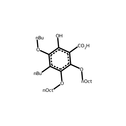 CCCCCCCCOc1c(CCCC)c(OCCCC)c(O)c(C(=O)O)c1OCCCCCCCC